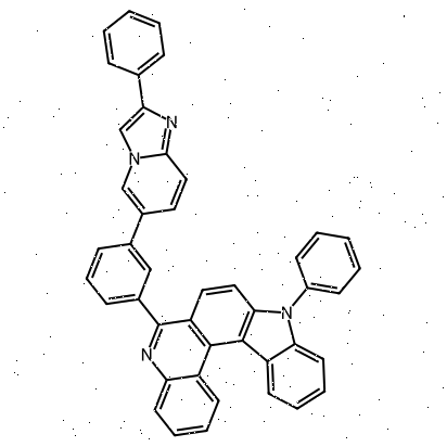 c1ccc(-c2cn3cc(-c4cccc(-c5nc6ccccc6c6c5ccc5c6c6ccccc6n5-c5ccccc5)c4)ccc3n2)cc1